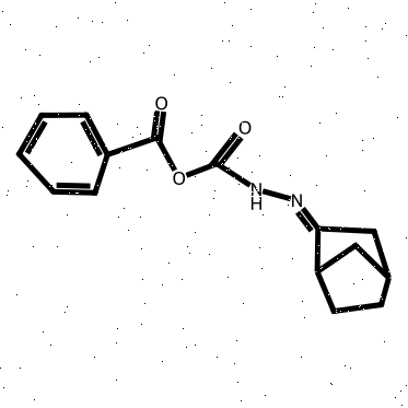 O=C(N/N=C1/CC2CCC1C2)OC(=O)c1ccccc1